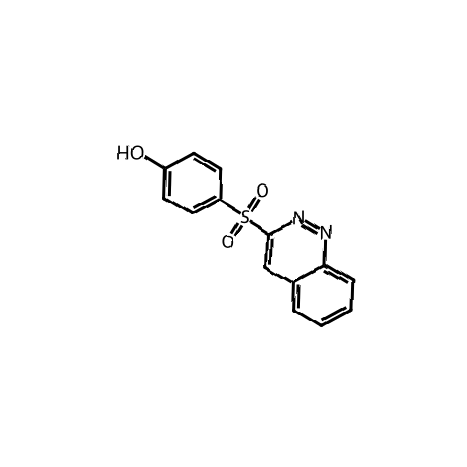 O=S(=O)(c1ccc(O)cc1)c1cc2ccccc2nn1